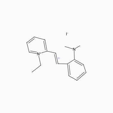 CC[n+]1ccccc1/C=C/c1ccccc1N(C)C.[I-]